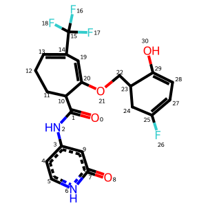 O=C(Nc1cc[nH]c(=O)c1)C1CCC=C(C(F)(F)F)C=C1OCC1CC(F)=CC=C1O